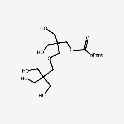 CCCCCC(=O)OCC(CO)(CO)COCC(CO)(CO)CO